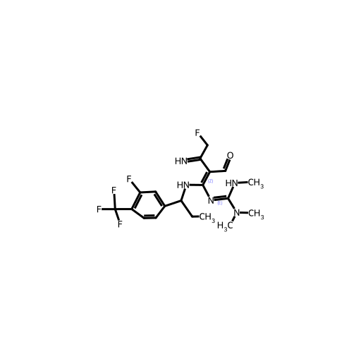 CCC(NC(/N=C(\NC)N(C)C)=C(/C=O)C(=N)CF)c1ccc(C(F)(F)F)c(F)c1